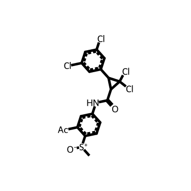 CC(=O)c1cc(NC(=O)C2C(c3cc(Cl)cc(Cl)c3)C2(Cl)Cl)ccc1[S+](C)[O-]